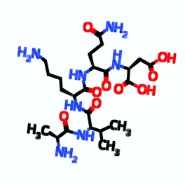 CC(C)[C@H](NC(=O)[C@H](C)N)C(=O)N[C@@H](CCCCN)C(=O)N[C@@H](CCC(N)=O)C(=O)N[C@@H](CC(=O)O)C(=O)O